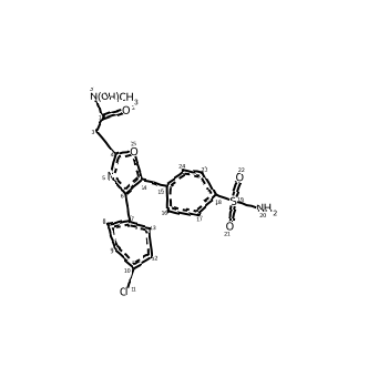 CN(O)C(=O)Cc1nc(-c2ccc(Cl)cc2)c(-c2ccc(S(N)(=O)=O)cc2)o1